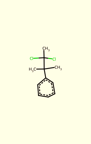 CC(Cl)(Cl)C(C)(C)c1ccccc1